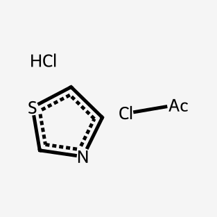 CC(=O)Cl.Cl.c1cscn1